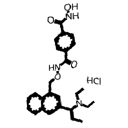 CCC(c1cc(CONC(=O)c2ccc(C(=O)NO)cc2)c2ccccc2c1)N(CC)CC.Cl